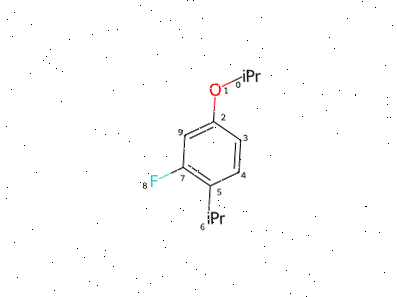 CC(C)Oc1ccc(C(C)C)c(F)c1